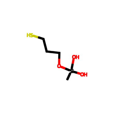 C[Si](O)(O)OCCCS